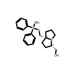 CC(C)(C)[Si](OC[C@]12CCCN1[C@H](CO)CC2)(c1ccccc1)c1ccccc1